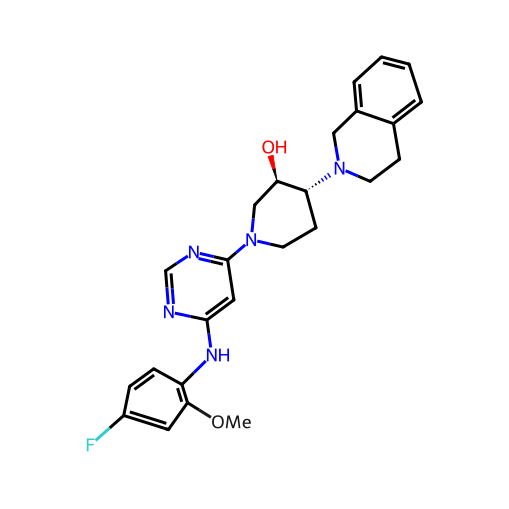 COc1cc(F)ccc1Nc1cc(N2CC[C@@H](N3CCc4ccccc4C3)[C@H](O)C2)ncn1